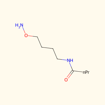 CCCC(=O)NCCCCON